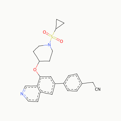 N#CCc1ccc(-c2cc(OC3CCN(S(=O)(=O)C4CC4)CC3)c3cnccc3c2)cc1